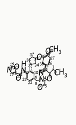 CC[C@H]1OC(C=O)N(Cc2ccc(NC(=O)c3cnco3)cc2)N=C1c1ccc(OC)c(OC2CCCC2)c1